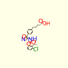 CC(OC(=O)Nc1cnoc1-c1ccc(CCCCC(=O)O)cc1)c1ccccc1Cl